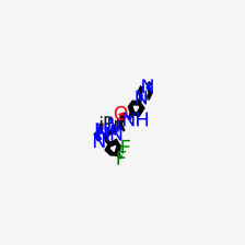 CC(C)n1cnc(-c2ccc(F)c(F)c2)c1-c1nc(C(=O)Nc2ccc(N3CCN(C)CC3)cc2)c[nH]1